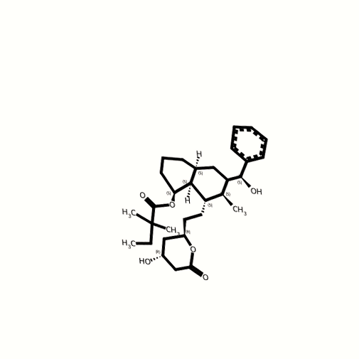 CCC(C)(C)C(=O)O[C@H]1CCC[C@H]2CC([C@H](O)c3ccccc3)[C@@H](C)[C@H](CC[C@@H]3C[C@@H](O)CC(=O)O3)[C@H]21